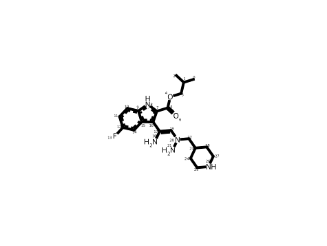 CC(C)COC(=O)c1[nH]c2ccc(F)cc2c1/C(N)=C/N(N)CC1CCNCC1